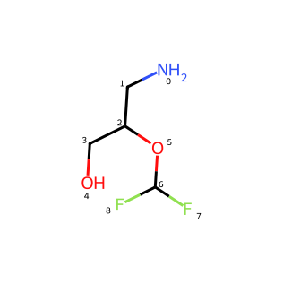 NCC(CO)OC(F)F